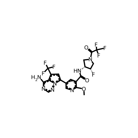 COc1ncc(-c2cc(C(F)(F)F)c3c(N)ncnn23)cc1C(=O)N[C@@H]1CN(C(=O)C(F)(F)F)C[C@@H]1F